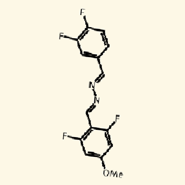 COc1cc(F)c(C=NN=Cc2ccc(F)c(F)c2)c(F)c1